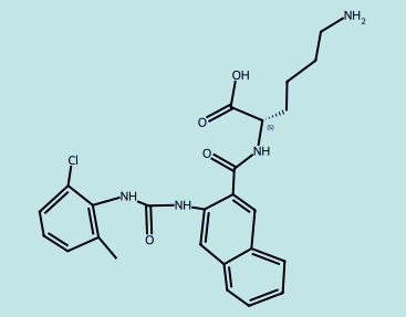 Cc1cccc(Cl)c1NC(=O)Nc1cc2ccccc2cc1C(=O)N[C@@H](CCCCN)C(=O)O